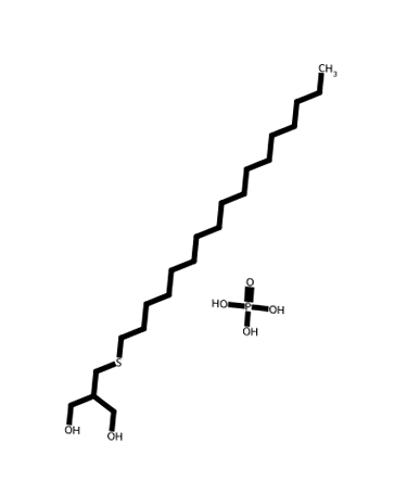 CCCCCCCCCCCCCCCCCSCC(CO)CO.O=P(O)(O)O